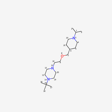 CC(C)N1CCC(COCCN2CCN(C(C)(C)C)CC2)CC1